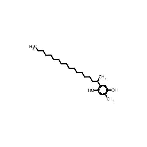 CCCCCCCCCCCCCCCCC(C)c1cc(O)c(C)cc1O